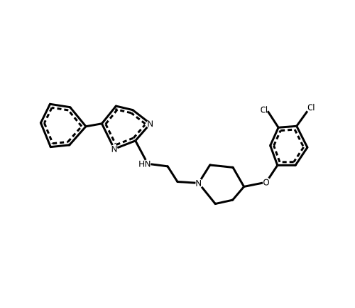 Clc1ccc(OC2CCN(CCNc3nccc(-c4ccccc4)n3)CC2)cc1Cl